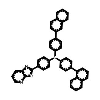 c1ccc2cc(-c3ccc(N(c4ccc(-c5nc6cccnc6o5)cc4)c4ccc(-c5cccc6ccccc56)cc4)cc3)ccc2c1